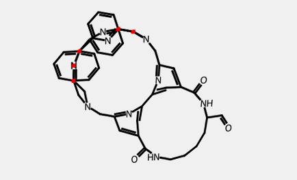 O=CC1CCCCNC(=O)c2cc3nc(c2)-c2cc(cc(n2)CN2Cc4cccc(n4)-c4cccc(n4)CN(Cc4cccc(n4)-c4cccc(n4)C2)C3)C(=O)N1